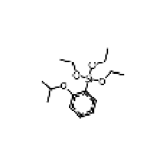 CCO[Si](OCC)(OCC)c1ccccc1OC(C)C